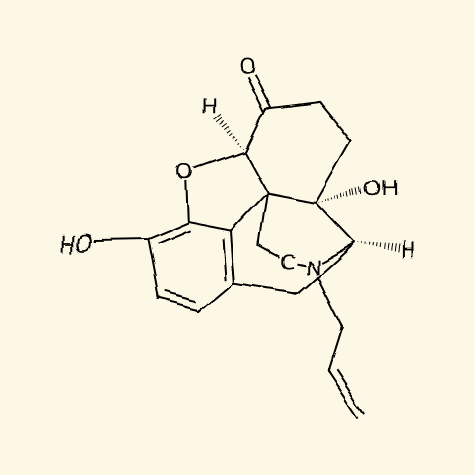 C=CCN1CCC23c4c5ccc(O)c4O[C@H]2C(=O)CC[C@@]3(O)[C@H]1C5